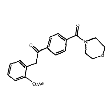 COc1ccccc1CC(=O)c1ccc(C(=O)N2CCOCC2)cc1